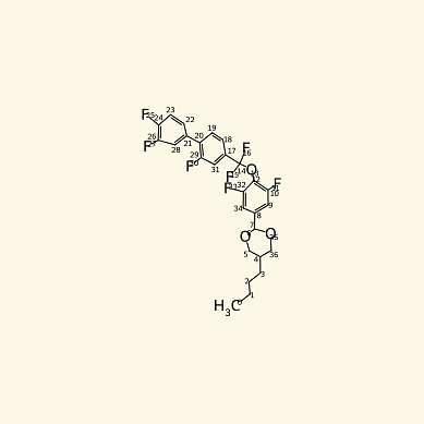 CCCCC1COC(c2cc(F)c(OC(F)(F)c3ccc(-c4ccc(F)c(F)c4)c(F)c3)c(F)c2)OC1